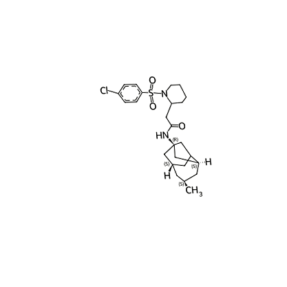 C[C@H]1C[C@H]2CC3C[C@@](NC(=O)CC4CCCCN4S(=O)(=O)c4ccc(Cl)cc4)(C2)C[C@@H]3C1